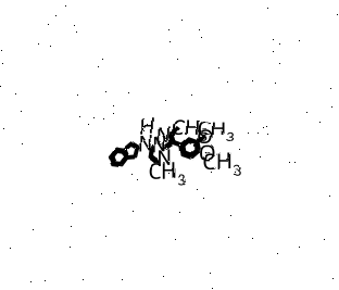 COc1ccc(-c2c(C)nn3c(NC4Cc5ccccc5C4)cc(C)nc23)cc1OC